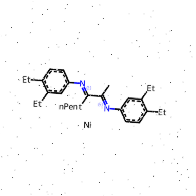 CCCCCC(=N\c1ccc(CC)c(CC)c1)/C(C)=N/c1ccc(CC)c(CC)c1.[Ni]